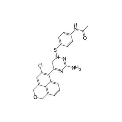 CC(=O)Nc1ccc(SN2CC(c3c(Cl)cc4c5c(cccc35)COC4)=NC(N)=N2)cc1